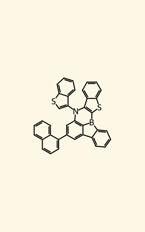 c1ccc2c(c1)B1c3sc4ccccc4c3N(c3csc4ccccc34)c3cc(-c4cccc5ccccc45)cc-2c31